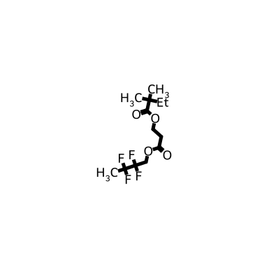 CCC(C)(C)C(=O)OCCC(=O)OCC(F)(F)C(C)(F)F